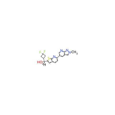 [2H][C@](O)(c1cc2ccc(-c3cnc4nn(C)cc4c3)nc2s1)C1CC(F)(F)C1